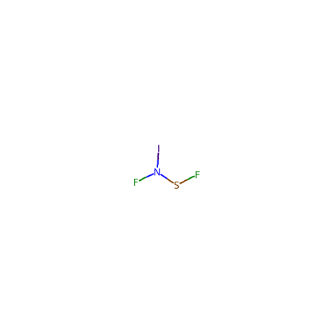 FSN(F)I